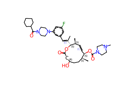 C/C(=C\c1cc(F)cc(N2CCN(C(=O)C3CCCCC3)CC2)c1)[C@H]1OC(=O)C[C@H](O)CC[C@H](C)[C@H](OC(=O)N2CCN(C)CC2)/C=C/[C@@H]1C